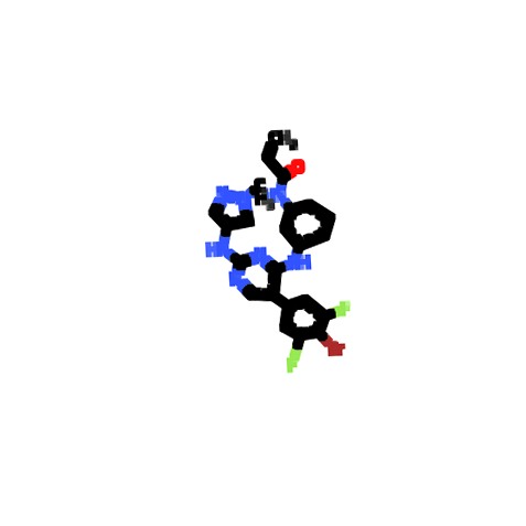 C=CC(=O)Nc1cccc(Nc2nc(Nc3cnn(C)c3)ncc2-c2cc(F)c(Br)c(F)c2)c1